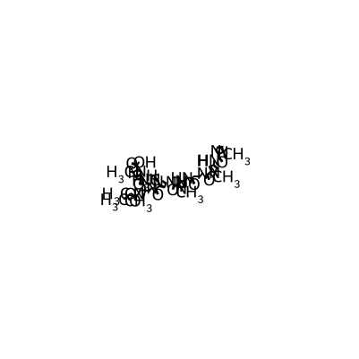 Cn1cc(NC(=O)c2nccn2C)cc1C(=O)NCCC(=O)Nc1cn(C)c(C(=O)Nc2cc(C(=O)NCC3(CC(=O)Nc4cn(C)c(C(=O)O)n4)CN(C(=O)OC(C)(C)C)C3)n(C)c2)n1